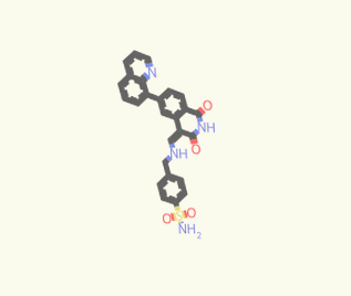 NS(=O)(=O)c1ccc(CN/C=C2\C(=O)NC(=O)c3ccc(-c4cccc5cccnc45)cc32)cc1